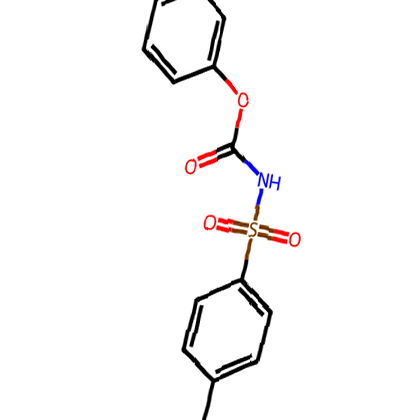 Cc1ccc(S(=O)(=O)NC(=O)Oc2ccccc2)cc1